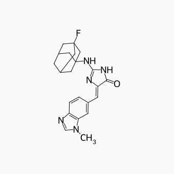 Cn1cnc2ccc(/C=C3\N=C(NC45CC6CC(CC(F)(C6)C4)C5)NC3=O)cc21